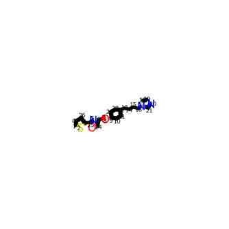 c1csc(-c2nc(COc3ccc(CCCCn4ccnc4)cc3)co2)c1